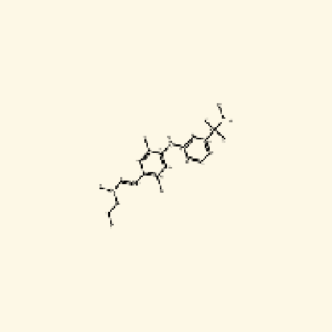 CCCN(C)C=Nc1cc(C)c(Oc2cccc(C(C)(C)OC)c2)cc1C